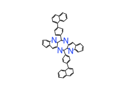 c1ccc2nc3c(cc2c1)/N=C(/c1ccc(-c2cccc4ccccc24)cc1)c1nc2ccccc2cc1/N=C\3c1ccc(-c2cccc3ccccc23)cc1